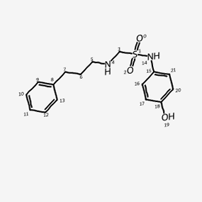 O=S(=O)(CNCCCc1ccccc1)Nc1ccc(O)cc1